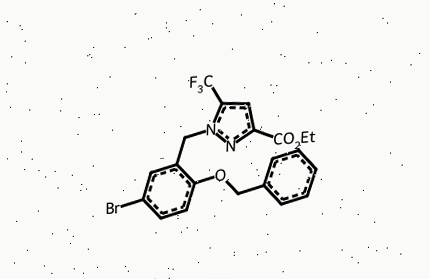 CCOC(=O)c1cc(C(F)(F)F)n(Cc2cc(Br)ccc2OCc2ccccc2)n1